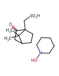 CC1(C)C2CCC1(CS(=O)(=O)O)C(=O)C2.ON1CCCCC1